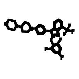 Fc1cc(F)c(Cn2nc3c(C(F)(F)F)cccc3c2-c2ccc(N3CCC(N4CCOCC4)CC3)cc2)c(F)c1